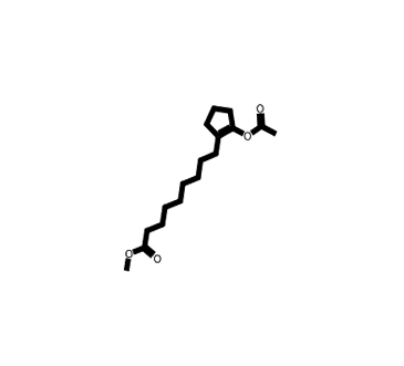 COC(=O)CCCCCCCCC1=C(OC(C)=O)CCC1